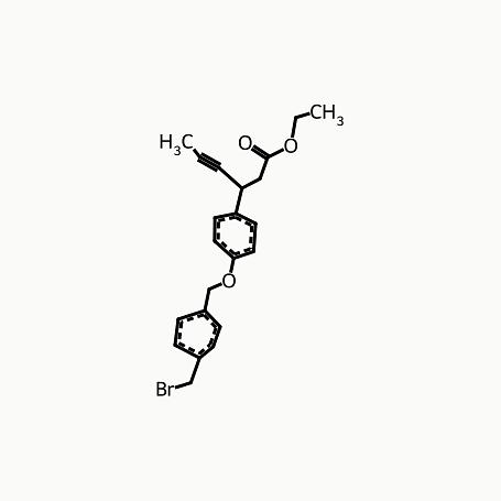 CC#CC(CC(=O)OCC)c1ccc(OCc2ccc(CBr)cc2)cc1